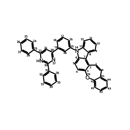 C1=Cc2c(ccc3c2c2ccccc2n3-c2cccc(-c3cc(-c4ccccc4)nc(-c4ccccc4)n3)c2)Oc2ccccc21